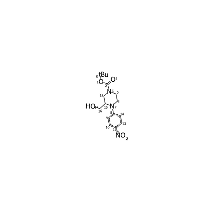 CC(C)(C)OC(=O)N1CCN(c2ccc([N+](=O)[O-])cc2)C(CO)C1